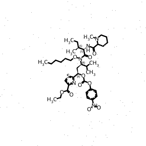 CCCCCCON(C(=O)[C@@H](NC(=O)C1CCCCN1C)[C@@H](C)CC)[C@H](C[C@@H](OC(=O)Oc1ccc([N+](=O)[O-])cc1)c1nc(C(=O)OCC)cs1)C(C)C